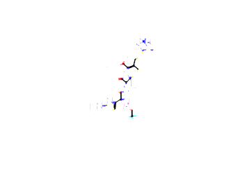 Cn1nnnc1SCC1=C(C(=O)O)N2C(=O)C(NC(=O)C(=NOCC(F)(F)F)c3csc(N)n3)[C@@H]2SC1